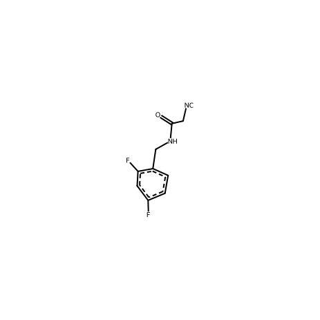 [C-]#[N+]CC(=O)NCc1ccc(F)cc1F